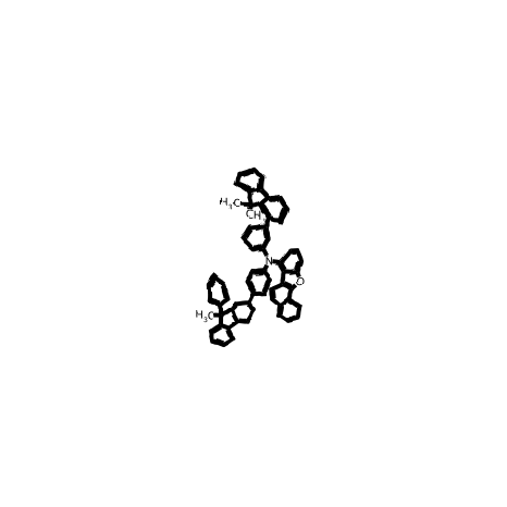 CC1(C)c2ccccc2-c2cccc(-c3cccc(N(c4ccc(-c5ccc6c(c5)C(C)(c5ccccc5)c5ccccc5-6)cc4)c4cccc5oc6c7ccccc7ccc6c45)c3)c21